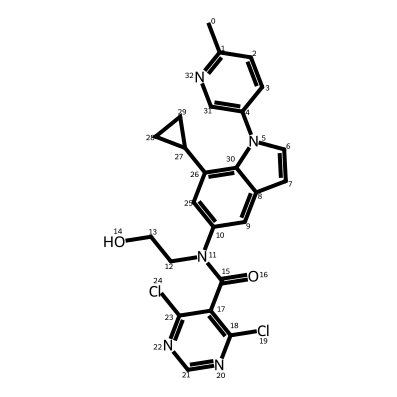 Cc1ccc(-n2ccc3cc(N(CCO)C(=O)c4c(Cl)ncnc4Cl)cc(C4CC4)c32)cn1